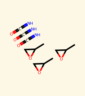 CC1CO1.CC1CO1.CC1CO1.N=C=O.N=C=O.N=C=O